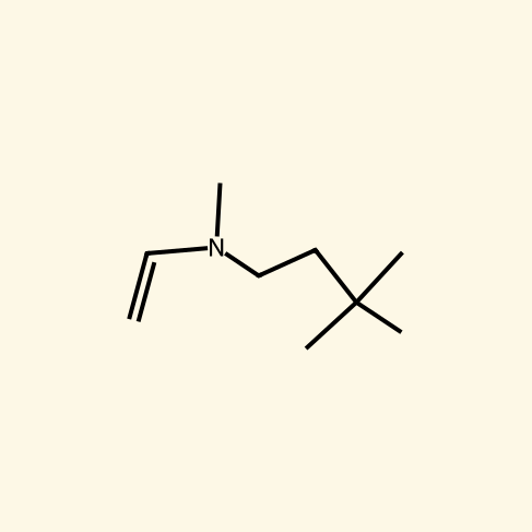 C=CN(C)CCC(C)(C)C